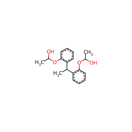 CC(O)Oc1ccccc1C(C)c1ccccc1OC(C)O